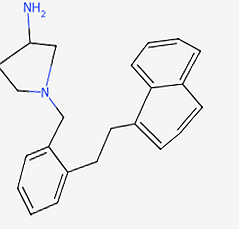 NC1CCN(Cc2ccccc2CCc2cccc3ccccc23)C1